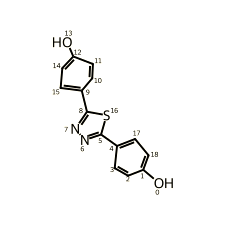 Oc1ccc(-c2nnc(-c3ccc(O)cc3)s2)cc1